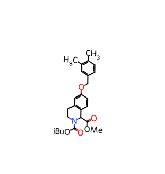 COC(=O)C1c2ccc(OCc3ccc(C)c(C)c3)cc2CCN1C(=O)OCC(C)C